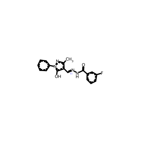 Cc1nn(-c2ccccc2)c(O)c1/C=N/NC(=O)c1cccc(F)c1